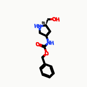 O=C(NC1CN[C@H](CO)C1)OCc1ccccc1